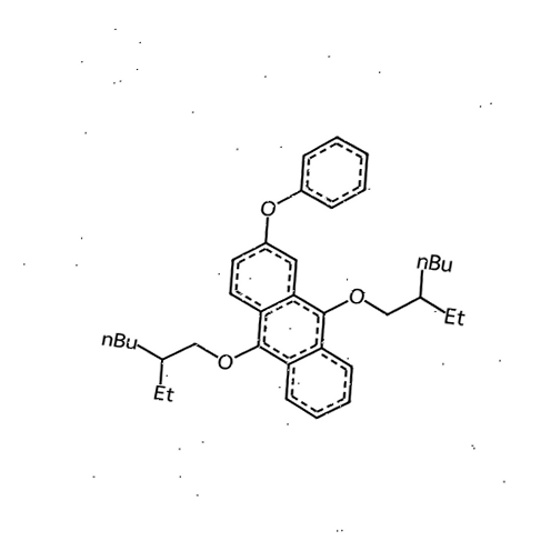 CCCCC(CC)COc1c2ccccc2c(OCC(CC)CCCC)c2cc(Oc3ccccc3)ccc12